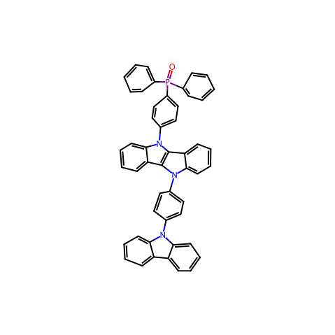 O=P(c1ccccc1)(c1ccccc1)c1ccc(-n2c3ccccc3c3c2c2ccccc2n3-c2ccc(-n3c4ccccc4c4ccccc43)cc2)cc1